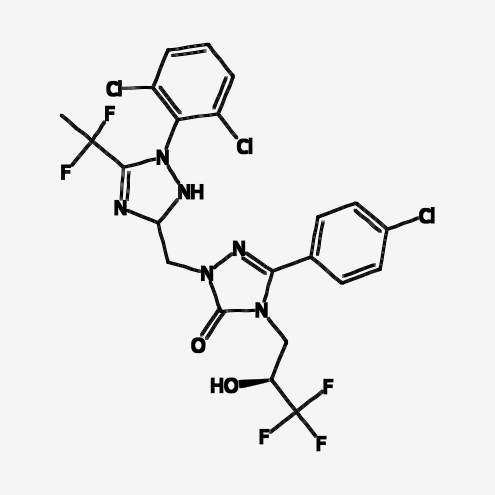 CC(F)(F)C1=NC(Cn2nc(-c3ccc(Cl)cc3)n(C[C@H](O)C(F)(F)F)c2=O)NN1c1c(Cl)cccc1Cl